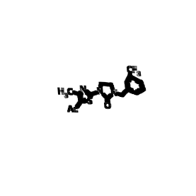 CC(=O)c1sc(N2CCN(Cc3cccc(C(F)(F)F)c3)C2=O)nc1C